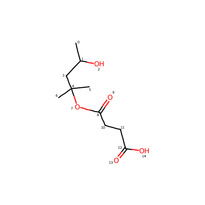 CC(O)CC(C)(C)OC(=O)CCC(=O)O